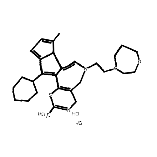 CC1=CC=C2C(C3CCCCC3)=C3C(=CN(CCN4CCCOCC4)CC4=C3SC(C(=O)O)=NC4)C12.Cl.Cl